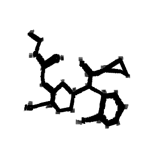 CCOC(=O)C=C1CN(C(C(=O)C2CC2)c2ccccc2F)CCC1O